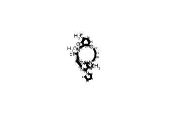 CCC1c2cc3nc(N4CCCC4)c(F)c(n3n2)N(C)CCCCOc2ccc(C)cc2C(=O)N1C